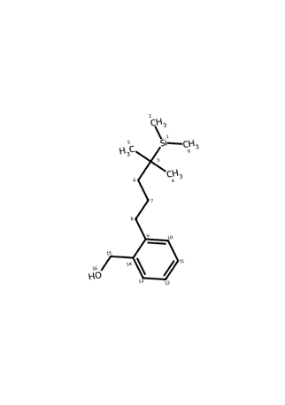 C[Si](C)C(C)(C)CCCc1ccccc1CO